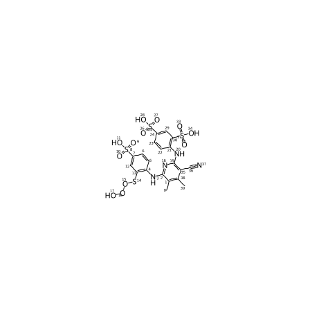 Cc1c(Nc2ccc(S(=O)(=O)O)cc2SOOO)nc(Nc2ccc(S(=O)(=O)O)cc2S(=O)(=O)O)c(C#N)c1C